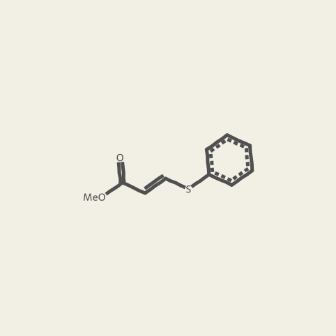 COC(=O)C=CSc1ccccc1